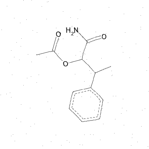 CC(=O)OC(C(N)=O)C(C)c1ccccc1